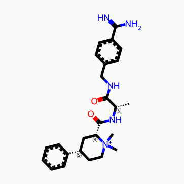 C[C@H](NC(=O)[C@H]1C[C@@H](c2ccccc2)CC[N+]1(C)C)C(=O)NCc1ccc(C(=N)N)cc1